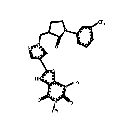 CCCn1c(=O)c2[nH]c(-c3cnn(CC4CCN(c5cccc(C(F)(F)F)c5)C4=O)c3)nc2n(CCC)c1=O